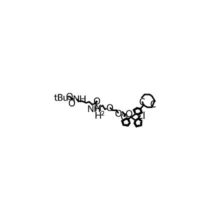 CC(C)(C)OC(=O)NCCCC[C@H](N)C(=O)NCCOCCOCC(=O)OC(c1ccccc1)(c1ccc(C2CCCCCCCCC2)cc1)c1ccccc1Cl